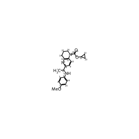 COc1ccc(NC(C)c2ccc3c(n2)CCCN3C(=O)OC2CC2)cc1